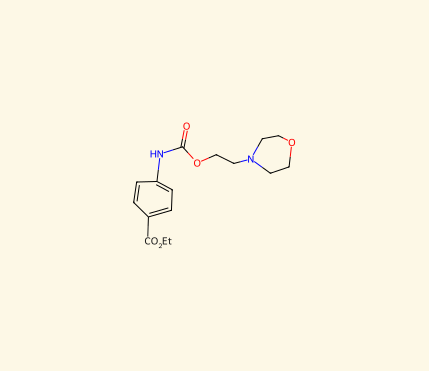 CCOC(=O)c1ccc(NC(=O)OCCN2CCOCC2)cc1